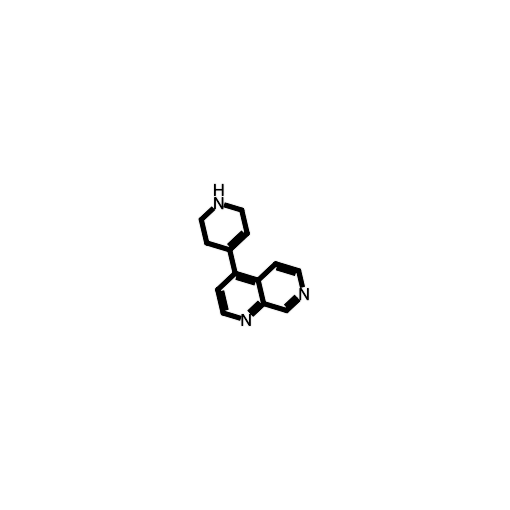 C1=C(c2ccnc3cnccc23)CCNC1